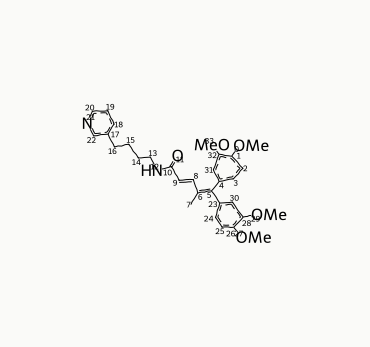 COc1ccc(C(=C(C)C=CC(=O)NCCCCc2cccnc2)c2ccc(OC)c(OC)c2)cc1OC